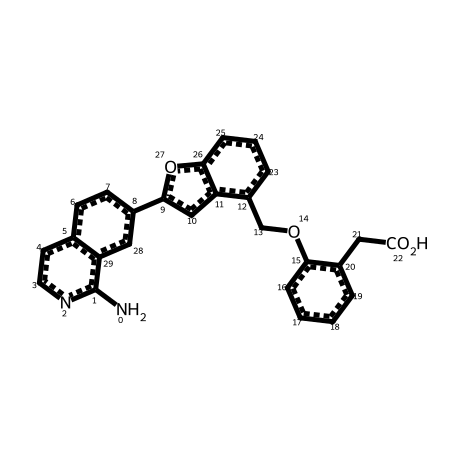 Nc1nccc2ccc(-c3cc4c(COc5ccccc5CC(=O)O)cccc4o3)cc12